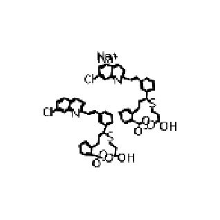 O=C(O)CCSC(CCc1ccccc1C(=O)[O-])c1cccc(/C=C/c2ccc3ccc(Cl)cc3n2)c1.O=C(O)CCSC(CCc1ccccc1C(=O)[O-])c1cccc(/C=C/c2ccc3ccc(Cl)cc3n2)c1.[Na+].[Na+]